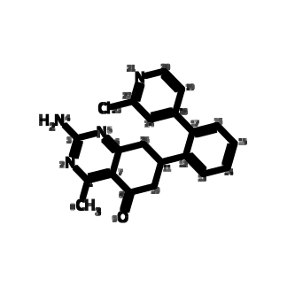 Cc1nc(N)nc2c1C(=O)CC(c1ccccc1-c1ccnc(Cl)c1)C2